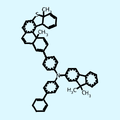 CC1(C)c2ccccc2-c2ccc(N(c3ccc(C4=CCCC=C4)cc3)c3ccc(C4=CC5C=Cc6ccc7c(c6C5(C)C=C4)C4C=CC=CC4(C)S7)cc3)cc21